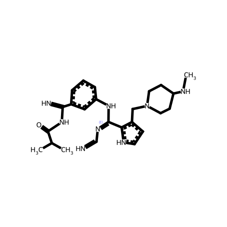 CNC1CCN(Cc2cc[nH]c2/C(=N\C=N)Nc2cccc(C(=N)NC(=O)C(C)C)c2)CC1